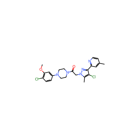 COc1cc(N2CCN(C(=O)Cn3nc(-c4cc(C)ccn4)c(Cl)c3C)CC2)ccc1Cl